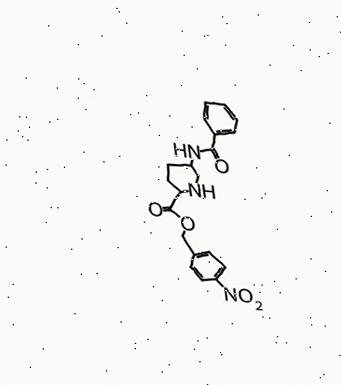 O=C(NC1CCC(C(=O)OCc2ccc([N+](=O)[O-])cc2)NC1)c1ccccc1